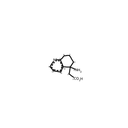 NC1(CC(=O)O)CCCc2ncccc21